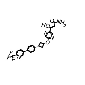 NC(=O)/C=C(\O)c1cnc(O[C@H]2C[C@@H](c3ccc(-c4ccc(C(F)(F)F)nc4)cc3)C2)cn1